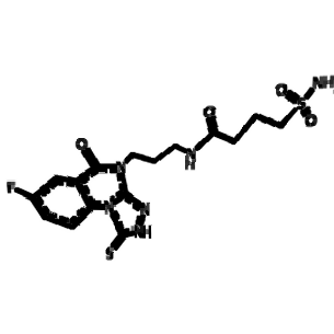 NS(=O)(=O)CCCC(=O)NCCCn1c(=O)c2cc(F)ccc2n2c(=S)[nH]nc12